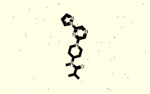 CC(C)C(=O)N(C)C1CCN(c2cncc(-n3cccn3)n2)CC1